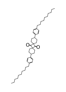 CCCCCCCCCCc1ccc(C2CCC3(CC2)C(=O)C2(CCC(c4ccc(CCCCCCCCCC)cc4)CC2)C3=O)cc1